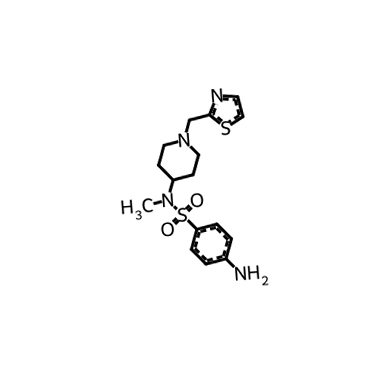 CN(C1CCN(Cc2nccs2)CC1)S(=O)(=O)c1ccc(N)cc1